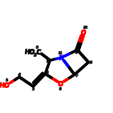 O=C(O)C1/C(=C\CO)OC2CC(=O)N21